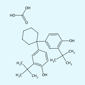 CC(C)(C)c1cc(C2(c3ccc(O)c(C(C)(C)C)c3)CCCCC2)ccc1O.O=C(O)O